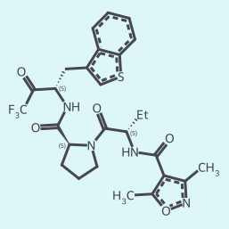 CC[C@H](NC(=O)c1c(C)noc1C)C(=O)N1CCC[C@H]1C(=O)N[C@@H](Cc1csc2ccccc12)C(=O)C(F)(F)F